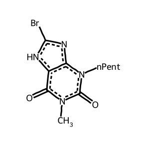 CCCCCn1c(=O)n(C)c(=O)c2[nH]c(Br)nc21